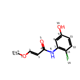 CCOC=CC(=O)Nc1cc(O)ccc1F